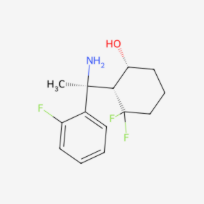 C[C@@](N)(c1ccccc1F)[C@@H]1[C@H](O)CCCC1(F)F